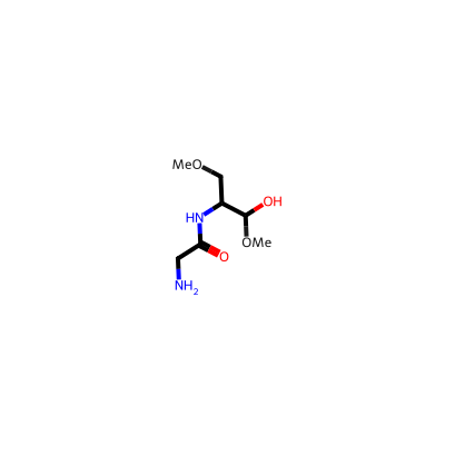 COCC(NC(=O)CN)C(O)OC